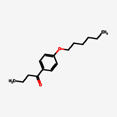 CCCCCCOc1ccc(C(=O)CCC)cc1